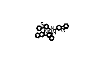 C1=C(c2nc(-c3ccccc3)nc(-c3ccc4sc5ccccc5c4c3-n3c4ccccc4c4cc5ccccc5cc43)n2)CCc2c1oc1ccccc21